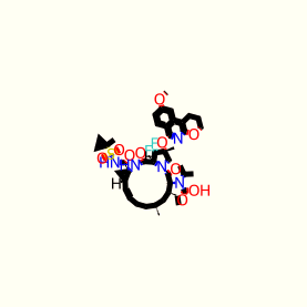 CC[C@@H]1C[C@H](C)CC/C=C\[C@@H]2C[C@@]2(C(=O)NS(=O)(=O)C2(C)CC2)NC(=O)[C@@H]2N(C[C@@](C)(Oc3nc4c(c5cc(OC)ccc35)CCCO4)C2(F)F)C(=O)[C@H]1N(C(=O)O)C(C)C